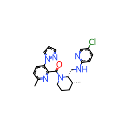 Cc1ccc(-n2cccn2)c(C(=O)N2CCC[C@@H](C)[C@H]2CNc2ccc(Cl)cn2)n1